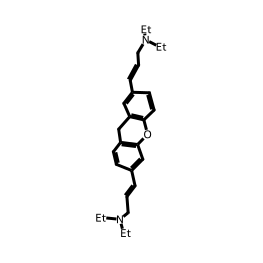 CCN(CC)C/C=C/c1ccc2c(c1)Cc1ccc(/C=C/CN(CC)CC)cc1O2